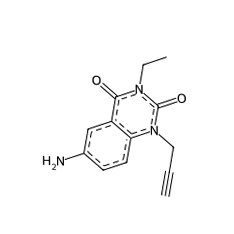 C#CCn1c(=O)n(CC)c(=O)c2cc(N)ccc21